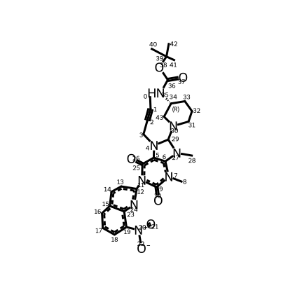 CC#CCN1c2c(n(C)c(=O)n(-c3ccc4cccc([N+](=O)[O-])c4n3)c2=O)N(C)C1N1CCC[C@@H](NC(=O)OC(C)(C)C)C1